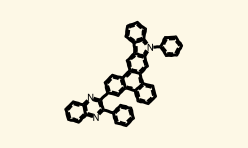 c1ccc(-c2nc3ccccc3nc2-c2ccc3c(c2)c2ccccc2c2cc4c(cc32)c2ccccc2n4-c2ccccc2)cc1